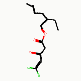 CCCCC(CC)COC(=O)CC(=O)C=C(Cl)Cl